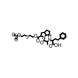 CC(NC(CCc1ccccc1)C(=O)O)C(=O)N1C(C(=O)OCCSCCO[N+](=O)[O-])CC2CCCC21